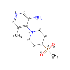 Cc1cncc(N)c1N1CCC(S(C)(=O)=O)CC1